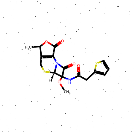 COC1(NC(=O)Cc2cccs2)C(=O)N2C3=C(CS[C@H]21)C(C)OC3=O